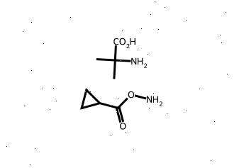 CC(C)(N)C(=O)O.NOC(=O)C1CC1